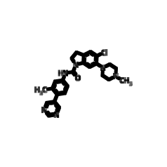 Cc1cc(NC(=O)N2CCc3cc(Cl)c(N4CCN(C)CC4)cc32)ccc1-c1cncnc1